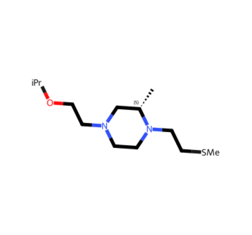 CSCCN1CCN(CCOC(C)C)C[C@@H]1C